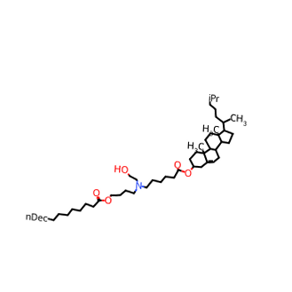 CCCCCCCCCCCCCCCCCC(=O)OCCCCN(CCO)CCCCCC(=O)OC1CCC2(C)C(=CCC3C2CCC2(C)C(C(C)CCCC(C)C)CCC32)C1